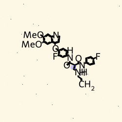 C=CCN/C=C(\C(=O)Nc1ccc(F)cc1)C(=O)Nc1ccc(Oc2ccnc3cc(OC)c(OC)cc23)c(F)c1